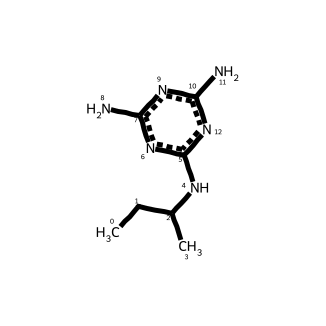 CCC(C)Nc1nc(N)nc(N)n1